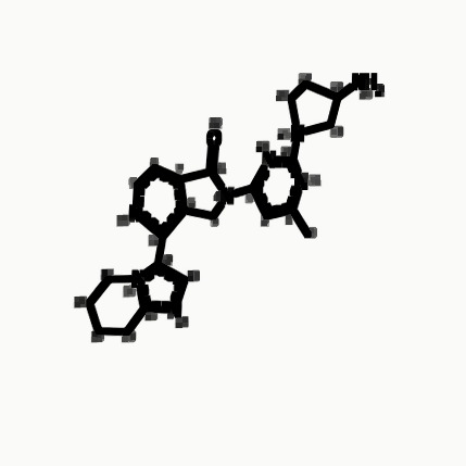 Cc1cc(N2Cc3c(ccnc3-c3cnc4n3CCCC4)C2=O)nc(N2CCC(N)C2)n1